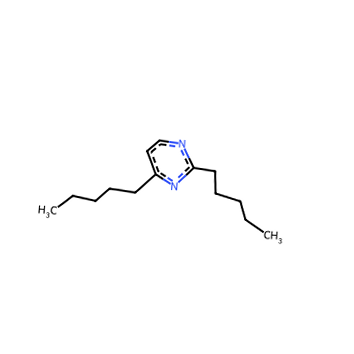 CCCCCc1ccnc(CCCCC)n1